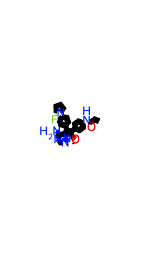 C=CC(=O)Nc1ccc(-c2c(-c3ccc(N4CCCC4)c(F)c3)c3c(N)ncnn3c2OC)cc1